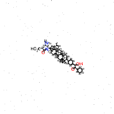 C=C(C)[C@@H]1CC[C@]2(CN(CCN(C)C)C(=O)CC(=O)O)CC[C@]3(C)[C@H](CC[C@@H]4[C@@]5(C)CC=C(c6ccc(C(O)C(=O)c7ccccc7)cc6)C(C)(C)[C@@H]5CC[C@]43C)[C@@H]12